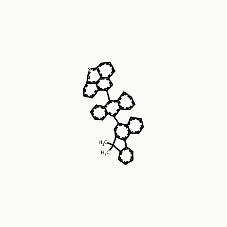 CC1(C)c2ccccc2-c2c1cc(-c1c3ccccc3c(-c3cc4cccc5sc6cccc3c6c45)c3ccccc13)c1ccccc21